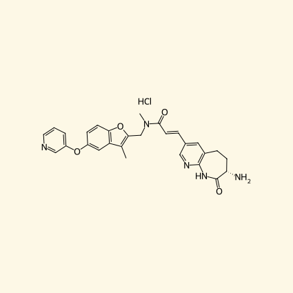 Cc1c(CN(C)C(=O)/C=C/c2cnc3c(c2)CC[C@H](N)C(=O)N3)oc2ccc(Oc3cccnc3)cc12.Cl